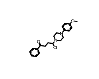 COc1ccc(N2CCN(C(Cl)CCC(=O)c3ccccc3)CC2)cc1